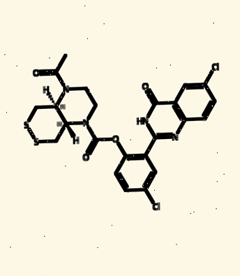 CC(=O)N1CCN(C(=O)Oc2ccc(Cl)cc2-c2nc3ccc(Cl)cc3c(=O)[nH]2)[C@@H]2CSSC[C@H]21